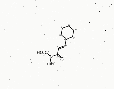 CCCN(C(=O)O)C(=S)C=CN1CCCCC1